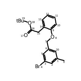 Cc1cc(Br)cc(COc2ccccc2CC(=O)OC(C)(C)C)c1